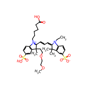 CCN1/C(=C/C=C/C2=[N+](CCCCCC(=O)O)c3ccc(S(=O)(=O)O)cc3C2(C)CCOCCOC)C(C)(C)c2cc(S(=O)(=O)[O-])ccc21